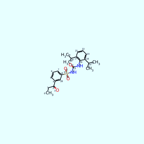 CCC(=O)c1cccc(S(=O)(=O)NC(=O)Nc2c(C(C)C)cccc2C(C)C)c1